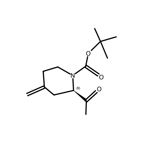 C=C1CCN(C(=O)OC(C)(C)C)[C@@H](C(C)=O)C1